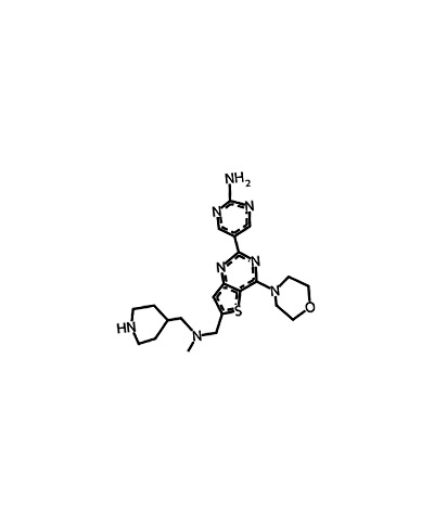 CN(Cc1cc2nc(-c3cnc(N)nc3)nc(N3CCOCC3)c2s1)CC1CCNCC1